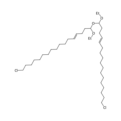 CCOC(CCC=CCCCCCCCCCCCCCl)OC(CCC=CCCCCCCCCCCCCCl)OCC